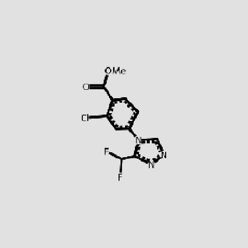 COC(=O)c1ccc(-n2cnnc2C(F)F)cc1Cl